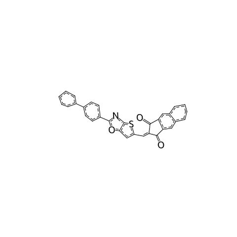 O=C1C(=Cc2cc3oc(-c4ccc(-c5ccccc5)cc4)nc3s2)C(=O)c2cc3ccccc3cc21